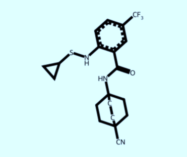 N#CC12CCC(NC(=O)c3cc(C(F)(F)F)ccc3NSC3CC3)(CC1)CC2